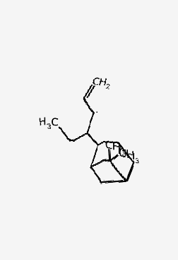 C=C[CH]C(CC)C1CCC2CC1C2(C)C